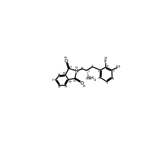 N[C@@H](Cc1cccc(F)c1F)CN1C(=O)c2ccccc2C1=O